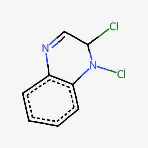 ClC1C=Nc2ccccc2N1Cl